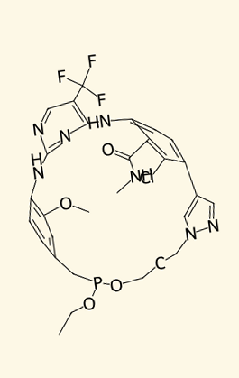 CCOP1Cc2ccc(c(OC)c2)Nc2ncc(C(F)(F)F)c(n2)Nc2ccc(c(Cl)c2C(=O)NC)-c2cnn(c2)CCCO1